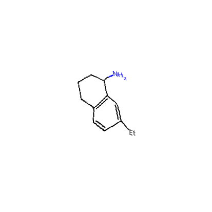 CCc1ccc2c(c1)C(N)CCC2